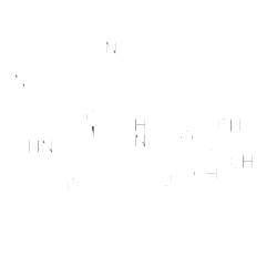 CC(C)(C)OC(=O)N[C@H](c1ccccc1)[C@@H]1Oc2c(C#N)cncc2NC1=O